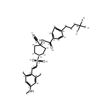 CNc1cc(C)c(/C=C/S(=O)(=O)N2CCC(C#N)(NC(=O)c3ccc(CCCC(F)(F)F)cc3)CC2)c(C)c1